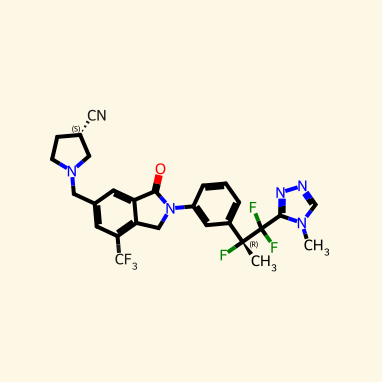 Cn1cnnc1C(F)(F)[C@](C)(F)c1cccc(N2Cc3c(cc(CN4CC[C@H](C#N)C4)cc3C(F)(F)F)C2=O)c1